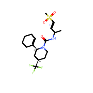 CC(/C=C/S(C)(=O)=O)NC(=O)N1CC[C@@H](C(F)(F)F)C[C@H]1C1=CCCCC1